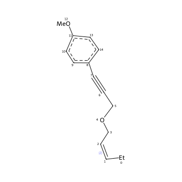 CC/C=C\COCC#Cc1ccc(OC)cc1